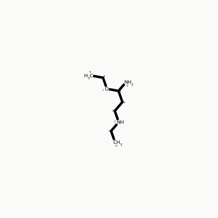 CCNCCC(N)OCC